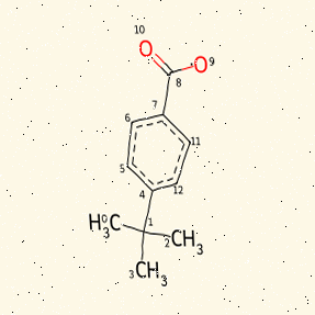 CC(C)(C)c1ccc(C([O])=O)cc1